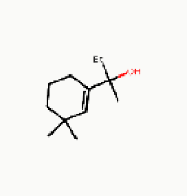 CCC(C)(O)C1=CC(C)(C)CCC1